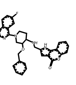 O=c1oc2ccccc2c2[nH]c(CNC3CCN(c4nccc5ccc(F)cc45)CC3OCc3ccccc3)cc12